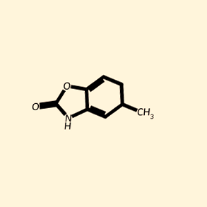 CC1C=c2[nH]c(=O)oc2=CC1